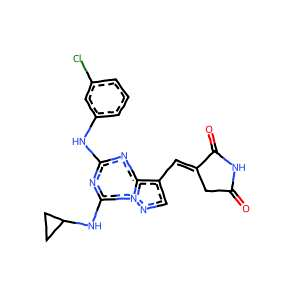 O=C1C/C(=C\c2cnn3c(NC4CC4)nc(Nc4cccc(Cl)c4)nc23)C(=O)N1